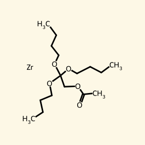 CCCCOC(COC(C)=O)(OCCCC)OCCCC.[Zr]